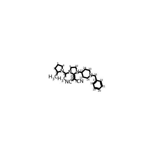 CC1CCCN1C(C)N1CCN(C2CCN(Cc3ccccc3)CC2)C1=C(C#N)C#N